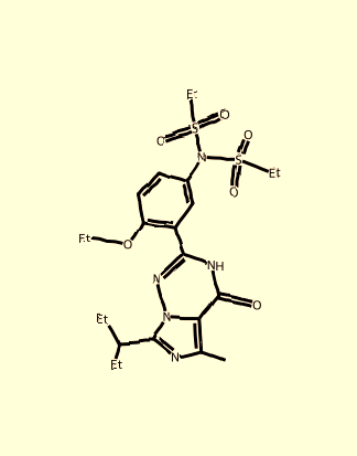 CCOc1ccc(N(S(=O)(=O)CC)S(=O)(=O)CC)cc1-c1nn2c(C(CC)CC)nc(C)c2c(=O)[nH]1